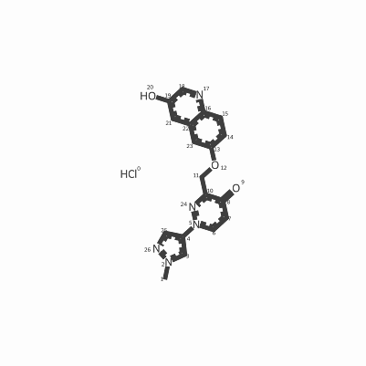 Cl.Cn1cc(-n2ccc(=O)c(COc3ccc4ncc(O)cc4c3)n2)cn1